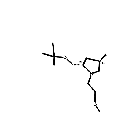 COCCN1C[C@H](C)C[C@H]1COC(C)(C)C